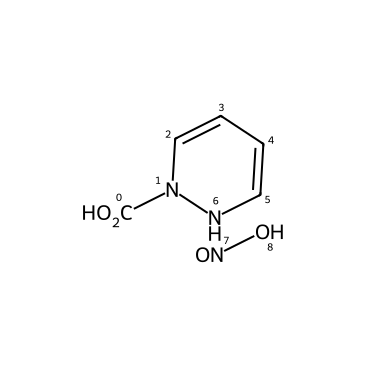 O=C(O)N1C=CC=CN1.O=NO